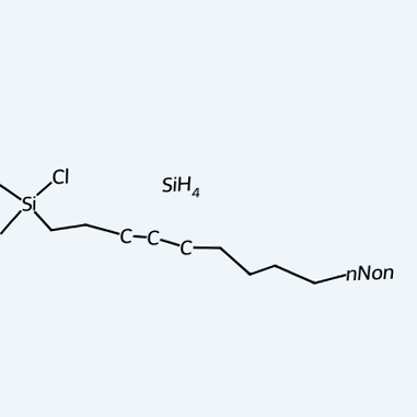 CCCCCCCCCCCCCCCCCC[Si](Cl)(Cl)Cl.[SiH4]